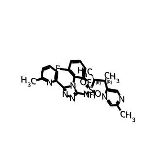 Cc1cnc([C@@H](C)[C@@H](C)S(=O)(=O)Nc2nnc(-c3cccc(C)n3)n2-c2c(F)cccc2F)cn1